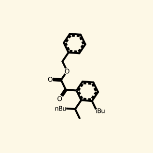 CCCCC(C)c1c(C(=O)C(=O)OCc2ccccc2)cccc1C(C)CC